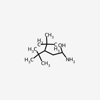 CC(C)(C)C(CC(N)O)C(C)(C)C